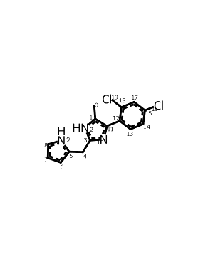 Cc1[nH]c(Cc2ccc[nH]2)nc1-c1ccc(Cl)cc1Cl